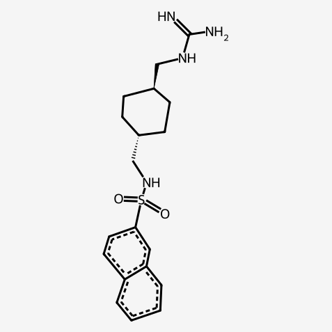 N=C(N)NC[C@H]1CC[C@H](CNS(=O)(=O)c2ccc3ccccc3c2)CC1